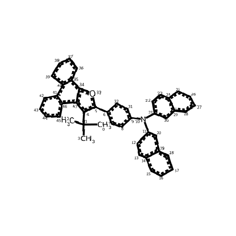 CC(C)(C)c1c(-c2ccc(N(c3ccc4ccccc4c3)c3ccc4ccccc4c3)cc2)oc2c3ccccc3c3ccccc3c12